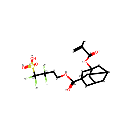 C=C(C)C(=O)OC12CC3CC(C1)CC(C(=O)OCCC(F)(F)C(F)(F)S(=O)(=O)O)(C3)C2